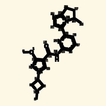 COc1nn(C2CN(C)C2)cc1C(=O)Nc1cccc(-c2cnc3n2C(C)CC3)n1